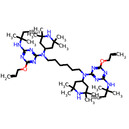 C=CCOc1nc(NC(C)(C)CC(C)(C)C)nc(N(CCCCCCN(c2nc(NC(C)(C)CC(C)(C)C)nc(OCC=C)n2)C2CC(C)(C)NC(C)(C)C2)C2CC(C)(C)NC(C)(C)C2)n1